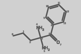 CCCC(N)(N)C(=O)c1ccccc1